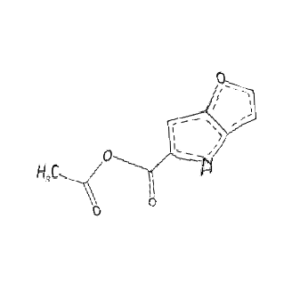 CC(=O)OC(=O)c1cc2occc2[nH]1